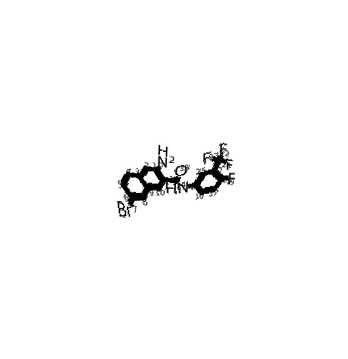 Nc1cc2ccc(Br)cc2cc1C(=O)Nc1ccc(F)c(C(F)(F)F)c1